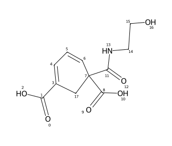 O=C(O)C1=CC=CC(C(=O)O)(C(=O)NCCO)C1